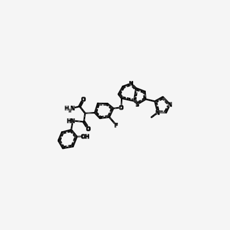 Cn1cncc1-c1cc2nccc(Oc3ccc(C(C(N)=O)C(=O)Nc4ccccc4O)cc3F)c2s1